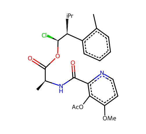 COc1ccnc(C(=O)N[C@@H](C)C(=O)O[C@@H](Cl)[C@H](c2ccccc2C)C(C)C)c1OC(C)=O